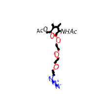 CC(=O)NC1C(OCCOCCOCCN=[N+]=[N-])OC(COC(C)=O)C(C)C1C